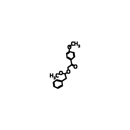 COc1ccc(C(=O)COC(Cc2ccccc2)OC)cc1